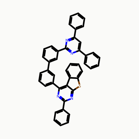 c1ccc(-c2cc(-c3ccccc3)nc(-c3cccc(-c4cccc(-c5nc(-c6ccccc6)nc6sc7ccccc7c56)c4)c3)n2)cc1